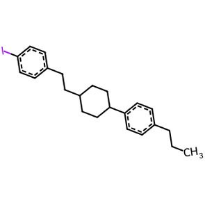 CCCc1ccc(C2CCC(CCc3ccc(I)cc3)CC2)cc1